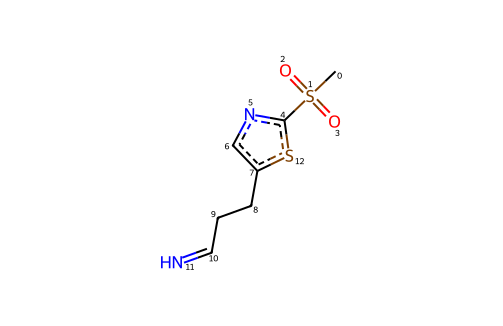 CS(=O)(=O)c1ncc(CCC=N)s1